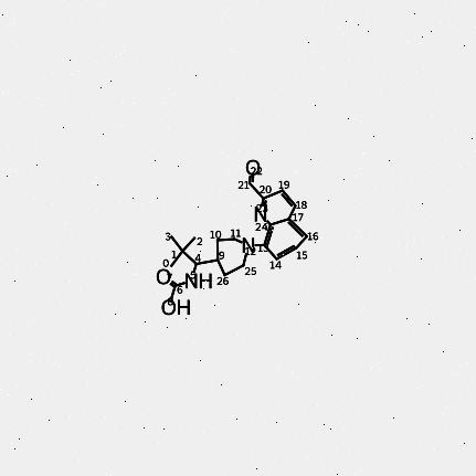 CC(C)(C)C(NC(=O)O)C1CCN(c2cccc3ccc(C=O)nc23)CC1